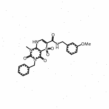 COc1cccc(CNC(=O)C2=CNc3c(c(=O)n(Cc4ccccc4)c(=O)n3C)S2(=O)=O)c1